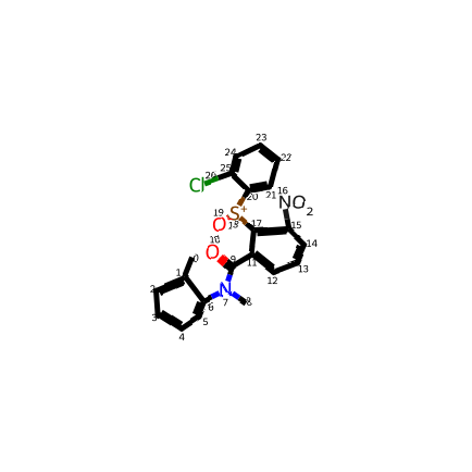 Cc1ccccc1N(C)C(=O)c1cccc([N+](=O)[O-])c1[S+]([O-])c1ccccc1Cl